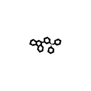 c1ccc(P(c2ccccc2)c2cccc(-c3cc4ccccc4c4ccccc34)c2)cc1